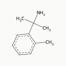 Cc1ccc[c]c1C(C)(C)N